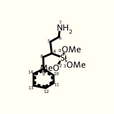 CO[Si](OC)(OC)C(CCN)Cc1ccccc1